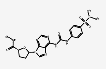 CCCN(CCC)S(=O)(=O)c1ccc(NC(=O)Nc2ncnc3c2ncn3[C@H]2CC[C@@H](C(=O)NCC)O2)cc1